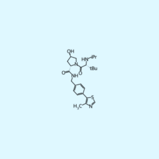 Cc1ncsc1-c1ccc(CNC(=O)[C@@H]2C[C@@H](O)CN2C(=O)[C@H](NC(C)C)C(C)(C)C)cc1